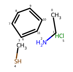 CCN.CS.Cl.c1ccccc1